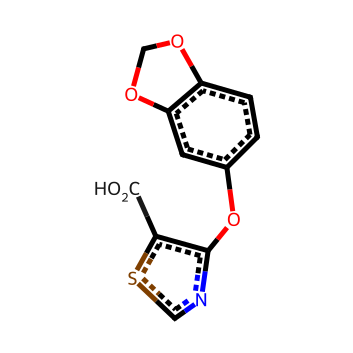 O=C(O)c1scnc1Oc1ccc2c(c1)OCO2